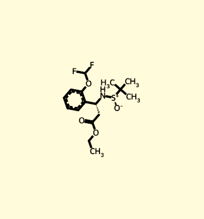 CCOC(=O)C[C@@H](N[S@@+]([O-])C(C)(C)C)c1ccccc1OC(F)F